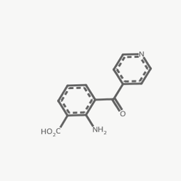 Nc1c(C(=O)O)cccc1C(=O)c1ccncc1